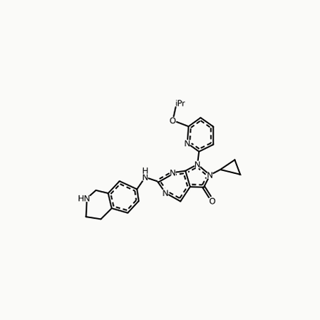 CC(C)Oc1cccc(-n2c3nc(Nc4ccc5c(c4)CNCC5)ncc3c(=O)n2C2CC2)n1